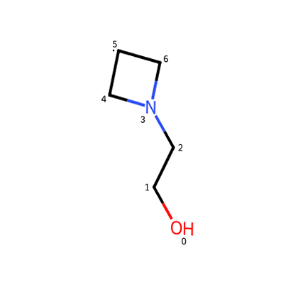 OCCN1C[CH]C1